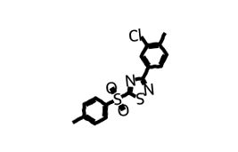 Cc1ccc(S(=O)(=O)c2nc(-c3ccc(C)c(Cl)c3)ns2)cc1